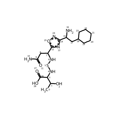 CC(O)C(NSNC(CC(N)=O)c1nc(C(N)CC2CCCCC2)no1)C(=O)O